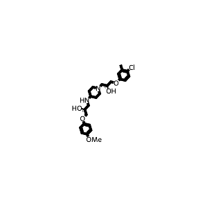 COc1ccc(OC[C@@H](O)CNC2CCN(C[C@@H](O)COc3ccc(Cl)c(C)c3)CC2)cc1